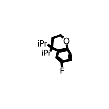 CC(C)C1(C(C)C)CCOc2ccc(F)cc21